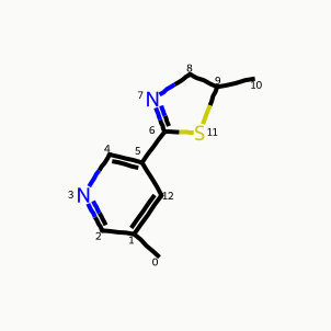 Cc1cncc(C2=NCC(C)S2)c1